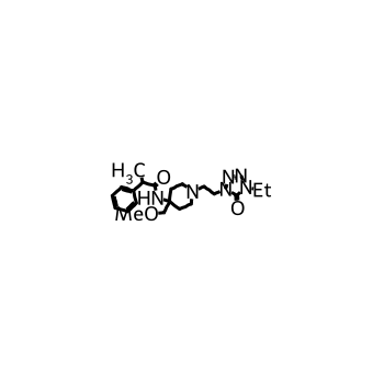 CCn1nnn(CCN2CCC(COC)(NC(=O)C(C)c3ccccc3)CC2)c1=O